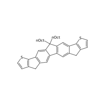 CCCCCCCCC1(CCCCCCCC)c2cc3c(cc2-c2cc4c(cc21)-c1sccc1C4)Cc1ccsc1-3